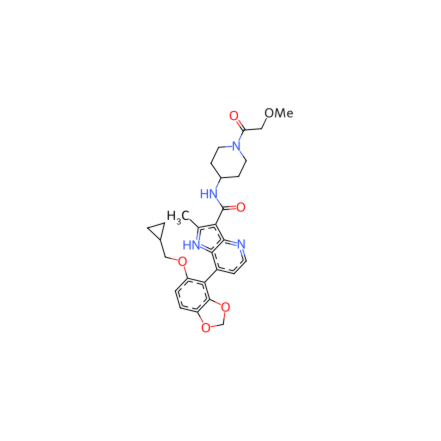 COCC(=O)N1CCC(NC(=O)c2c(C)[nH]c3c(-c4c(OCC5CC5)ccc5c4OCO5)ccnc23)CC1